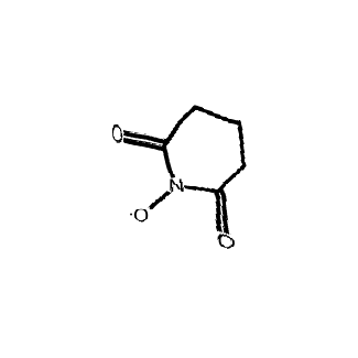 [O]N1C(=O)CCCC1=O